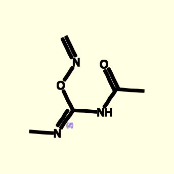 C=NO/C(=N\C)NC(C)=O